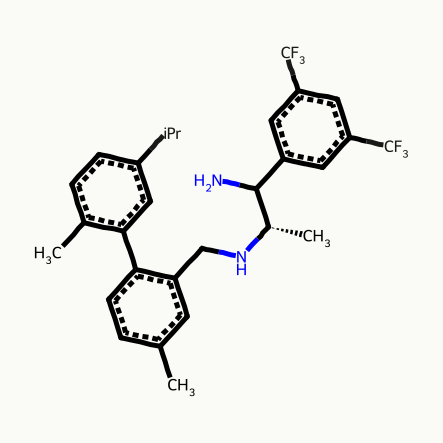 Cc1ccc(-c2cc(C(C)C)ccc2C)c(CN[C@@H](C)C(N)c2cc(C(F)(F)F)cc(C(F)(F)F)c2)c1